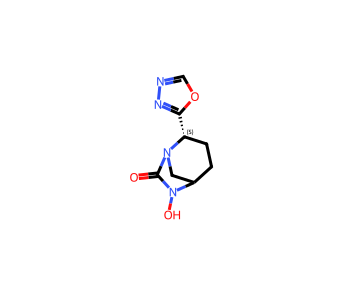 O=C1N(O)C2CC[C@@H](c3nnco3)N1C2